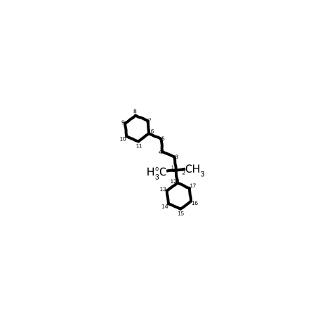 CC(C)(CCCC1CCCCC1)C1CCCCC1